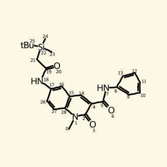 Cn1c(=O)c(C(=O)Nc2ccccc2)cc2cc(NC(=O)C[Si](C)(C)C(C)(C)C)ccc21